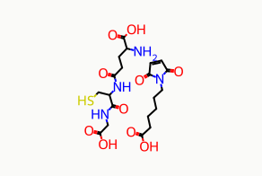 NC(CCC(=O)NC(CS)C(=O)NCC(=O)O)C(=O)O.O=C(O)CCCCCN1C(=O)C=CC1=O